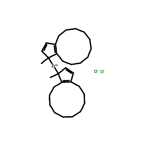 C[C]1([Zr+2][C]2(C)C=CC3=C2CCCCCCCCCC3)C=CC2=C1CCCCCCCCCC2.[Cl-].[Cl-]